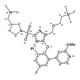 COc1cc(-c2cc(F)cc(C(C)C)c2Oc2nc(S(=O)(=O)N3CCC(CN(C)C)C3)nn2COCC[Si](C)(C)C)ccn1